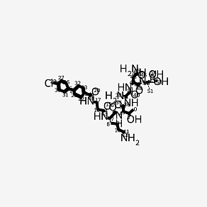 CC(O)[C@H](NC(=O)[C@H](CCCCN)NC(=O)CCNC(=O)c1ccc(-c2ccc(Cl)cc2)cc1)C(=O)N[C@@H](N)C(=O)NC(CC(N)=O)C(=O)N[C@@H](C)B(O)O